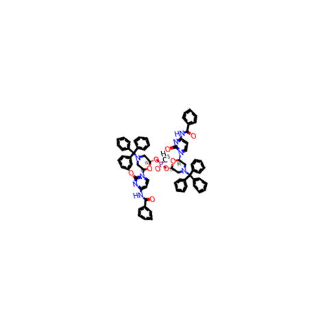 CP(=O)(O[C@H]1CN(C(c2ccccc2)(c2ccccc2)c2ccccc2)C[C@H](n2ccc(NC(=O)c3ccccc3)nc2=O)O1)O[C@H]1CN(C(c2ccccc2)(c2ccccc2)c2ccccc2)C[C@H](n2ccc(NC(=O)c3ccccc3)nc2=O)O1